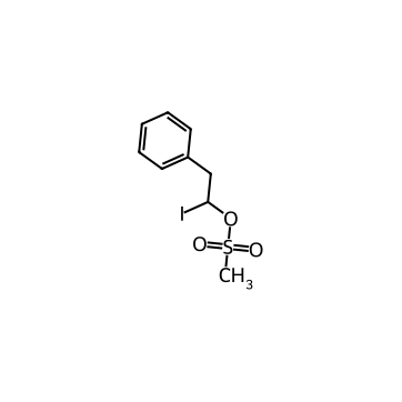 CS(=O)(=O)OC(I)Cc1ccccc1